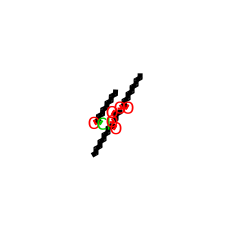 CCCCCCCCCC(=O)Cl.CCCCCCCCCC(=O)OCC(=O)COC(=O)CCCCCCCCC